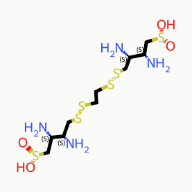 N[C@H](CSSCCSSC[C@@H](N)[C@H](N)CS(=O)O)[C@H](N)CS(=O)O